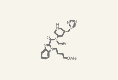 COCCCCn1c(C(=O)N(CC(C)C)C2CNC[C@H](Cn3cncn3)C2)nc2ccccc21